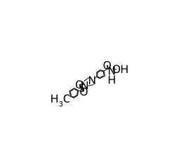 Cc1ccc(S(=O)(=O)N2CCN(c3ccc(C(=O)NO)cc3)CC2)cc1